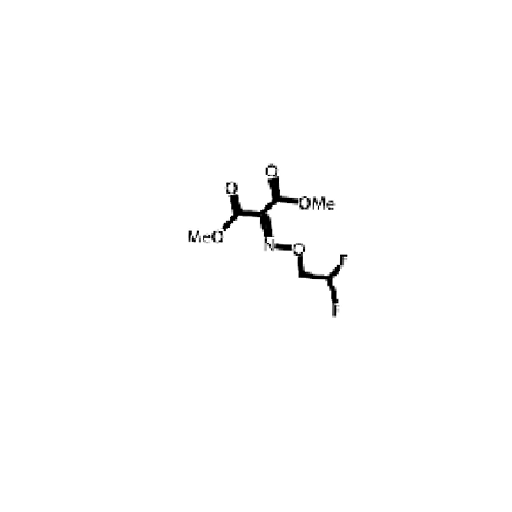 COC(=O)C(=NOCC(F)F)C(=O)OC